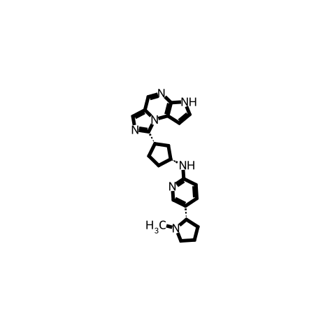 CN1CCC[C@H]1c1ccc(N[C@@H]2CC[C@H](c3ncc4cnc5[nH]ccc5n34)C2)nc1